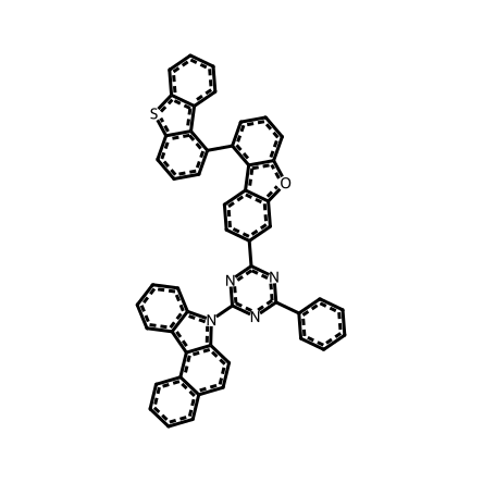 c1ccc(-c2nc(-c3ccc4c(c3)oc3cccc(-c5cccc6sc7ccccc7c56)c34)nc(-n3c4ccccc4c4c5ccccc5ccc43)n2)cc1